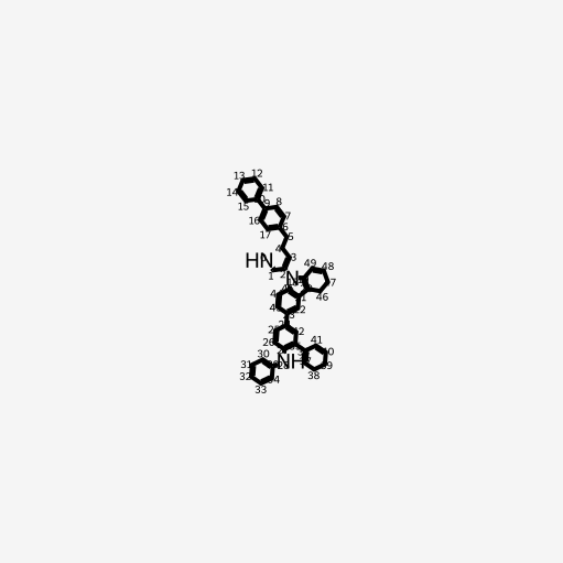 N=C/C(=C\CCc1ccc(-c2ccccc2)cc1)n1c2c(c3cc(-c4ccc(Nc5ccccc5)c(C5=CCCC=C5)c4)ccc31)CCC=C2